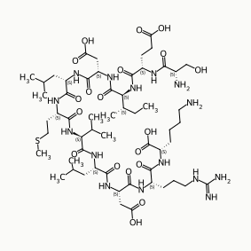 CC[C@H](C)[C@H](NC(=O)[C@H](CCC(=O)O)NC(=O)[C@@H](N)CO)C(=O)N[C@@H](CC(=O)O)C(=O)N[C@@H](CC(C)C)C(=O)N[C@@H](CCSC)C(=O)N[C@H](C(=O)N[C@@H](CC(C)C)C(=O)N[C@@H](CC(=O)O)C(=O)N[C@@H](CCCNC(=N)N)C(=O)N[C@@H](CCCCN)C(=O)O)C(C)C